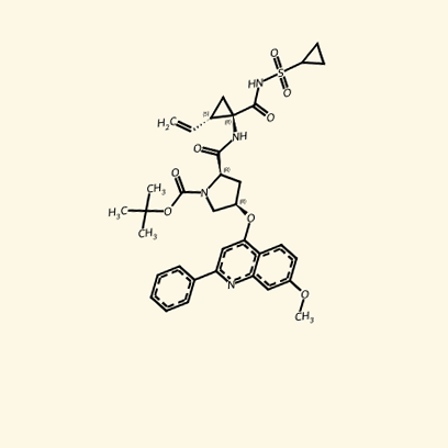 C=C[C@@H]1C[C@]1(NC(=O)[C@H]1C[C@@H](Oc2cc(-c3ccccc3)nc3cc(OC)ccc23)CN1C(=O)OC(C)(C)C)C(=O)NS(=O)(=O)C1CC1